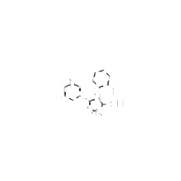 Fc1ccccc1-n1c(S)nnc1-c1cccnc1